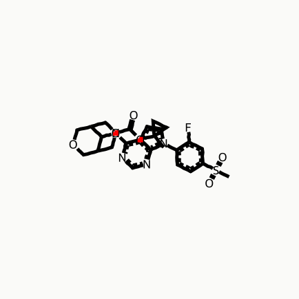 CC1(OC(=O)N2CC3COCC(C2)C3Oc2ncnc3c2ccn3-c2ccc(S(C)(=O)=O)cc2F)CC1